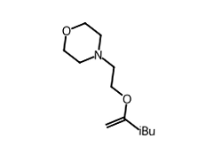 C=C(OCCN1CCOCC1)C(C)CC